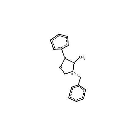 CN1B(c2ccccc2)OC[C@H]1Cc1ccccc1